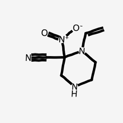 C=CN1CCNCC1(C#N)[N+](=O)[O-]